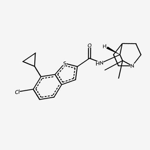 CC1(C)[C@H](NC(=O)c2cc3ccc(Cl)c(C4CC4)c3s2)C2CCN1CC2